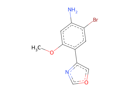 COc1cc(N)c(Br)cc1-c1cocn1